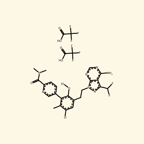 CCOc1c(CCn2nc(C(F)F)c3c(N)ncnc32)cc(Cl)c(C)c1-c1ccc(C(=O)N(C)C)nc1.O=C(O)C(F)(F)F.O=C(O)C(F)(F)F